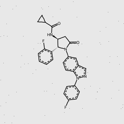 O=C(N[C@H]1CC(=O)N(c2ccc3c(cnn3-c3ccc(F)cc3)c2)[C@@H]1c1ccccc1F)C1CC1